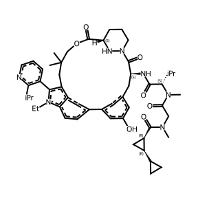 CCn1c(-c2cccnc2C(C)C)c2c3cc(ccc31)-c1cc(O)cc(c1)C[C@H](NC(=O)[C@H](C(C)C)N(C)C(=O)CN(C)C(=O)[C@@H]1C[C@@H]1C1CC1)C(=O)N1CCC[C@H](N1)C(=O)OCC(C)(C)C2